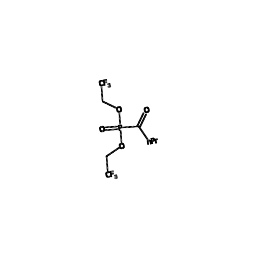 CCCC(=O)P(=O)(OCC(F)(F)F)OCC(F)(F)F